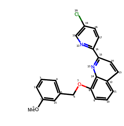 COc1cccc(COc2cccc3ccc(-c4ccc(Cl)cn4)nc23)c1